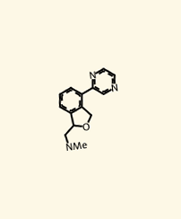 CNCC1OCc2c(-c3cnccn3)cccc21